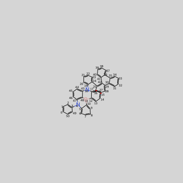 c1ccc(N2c3ccccc3B3c4ccccc4N(c4ccccc4-c4cccc5c6ccccc6c6ccccc6c45)c4cccc2c43)cc1